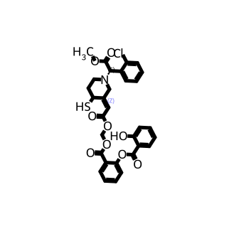 COC(=O)[C@H](c1ccccc1Cl)N1CCC(S)/C(=C\C(=O)OCOC(=O)c2ccccc2OC(=O)c2ccccc2O)C1